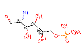 N[C@@H](C=O)[C@@H](O)[C@@H](O)[C@H](O)COP(=O)(O)O